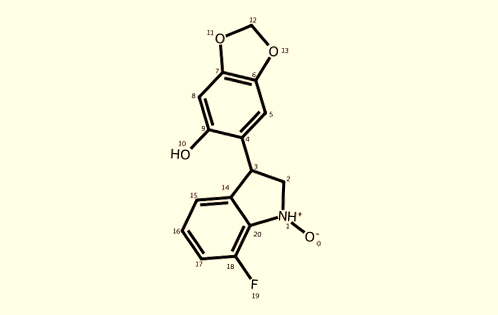 [O-][NH+]1CC(c2cc3c(cc2O)OCO3)c2cccc(F)c21